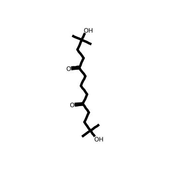 CC(C)(O)CCC(=O)CCCC(=O)CCC(C)(C)O